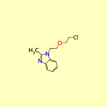 Cc1nc2ccccc2n1CCOCCCl